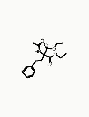 CCOC(=O)C(CCc1ccccc1)(NC(C)=O)C(=O)OCC